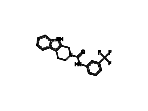 O=C(Nc1cccc(C(F)(F)F)c1)N1CCc2c([nH]c3ccccc23)C1